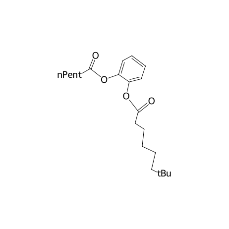 CCCCCC(=O)Oc1ccccc1OC(=O)CCCCCC(C)(C)C